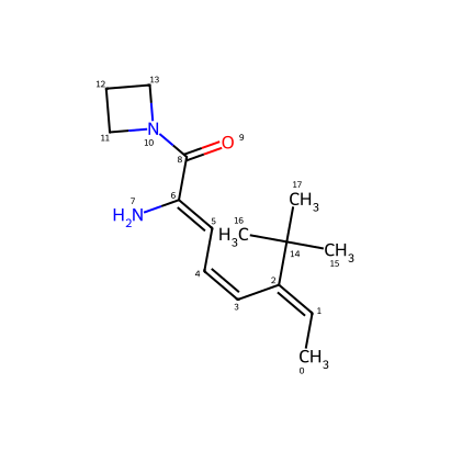 C\C=C(/C=C\C=C(/N)C(=O)N1CCC1)C(C)(C)C